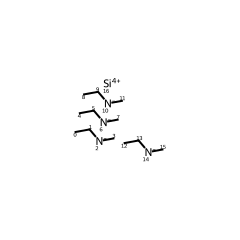 CC[N-]C.CC[N-]C.CC[N-]C.CC[N-]C.[Si+4]